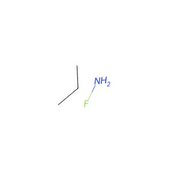 CCC.NF